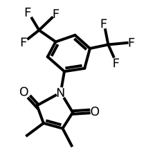 CC1=C(C)C(=O)N(c2cc(C(F)(F)F)cc(C(F)(F)F)c2)C1=O